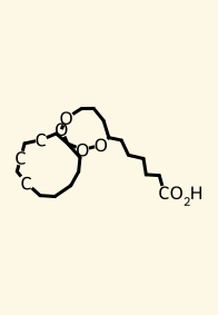 O=C(O)CCCCCC1CCCOOC2(CCCCCCCCCCC2)OO1